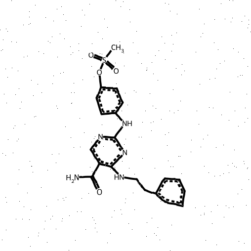 CS(=O)(=O)Oc1ccc(Nc2ncc(C(N)=O)c(NCCc3ccccc3)n2)cc1